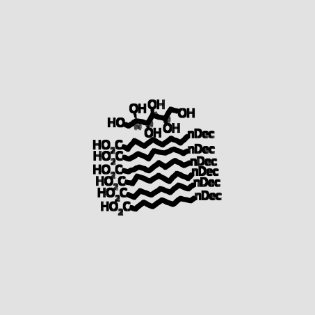 CCCCCCCCCCCCCCCCCC(=O)O.CCCCCCCCCCCCCCCCCC(=O)O.CCCCCCCCCCCCCCCCCC(=O)O.CCCCCCCCCCCCCCCCCC(=O)O.CCCCCCCCCCCCCCCCCC(=O)O.CCCCCCCCCCCCCCCCCC(=O)O.OC[C@@H](O)[C@H](O)[C@H](O)[C@@H](O)CO